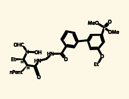 CCCCC[C@@H](C(=O)NCNC(=O)c1cccc(-c2cc(OCC)cc(P(=O)(OC)OC)c2)c1)[C@@H](CC)N(O)C=O